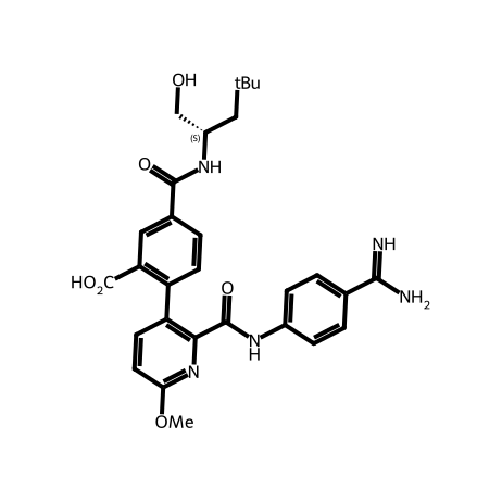 COc1ccc(-c2ccc(C(=O)N[C@H](CO)CC(C)(C)C)cc2C(=O)O)c(C(=O)Nc2ccc(C(=N)N)cc2)n1